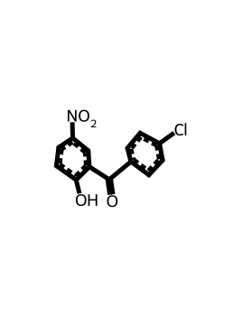 O=C(c1ccc(Cl)cc1)c1cc([N+](=O)[O-])ccc1O